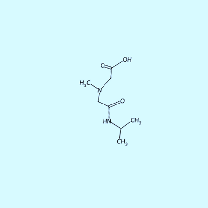 CC(C)NC(=O)CN(C)CC(=O)O